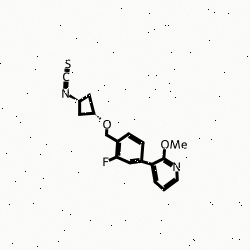 COc1ncccc1-c1ccc(CO[C@H]2C[C@H](N=C=S)C2)c(F)c1